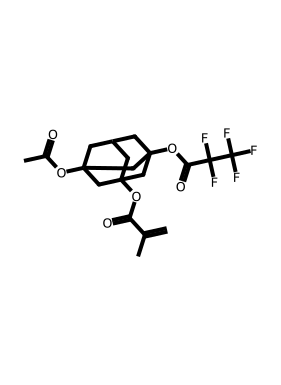 C=C(C)C(=O)OC12CC3CC(OC(C)=O)(C1)CC(OC(=O)C(F)(F)C(F)(F)F)(C3)C2